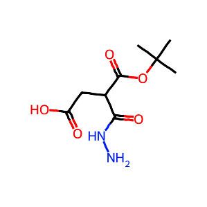 CC(C)(C)OC(=O)C(CC(=O)O)C(=O)NN